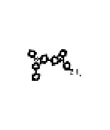 Bc1ccc(-n2c3ccccc3c3cc(-c4ccc5c(c4)c4cc(-c6ccccc6)ccc4n5-c4ccccc4)ccc32)cc1